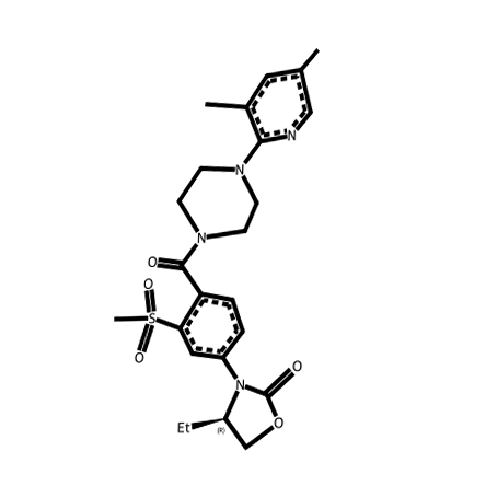 CC[C@@H]1COC(=O)N1c1ccc(C(=O)N2CCN(c3ncc(C)cc3C)CC2)c(S(C)(=O)=O)c1